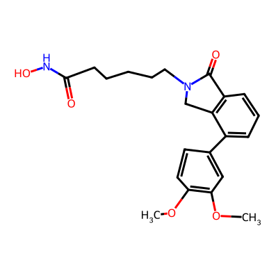 COc1ccc(-c2cccc3c2CN(CCCCCC(=O)NO)C3=O)cc1OC